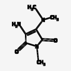 CN(C)C1=C(N)C(=O)N(C)C1=O